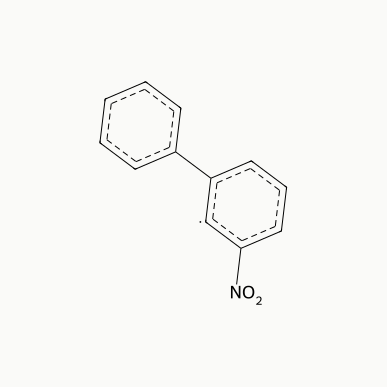 O=[N+]([O-])c1[c]c(-c2ccccc2)ccc1